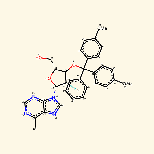 COc1ccc(C(OC2[C@@H](CO)O[C@@H](n3cnc4c(C)ncnc43)[C@H]2F)(c2ccccc2)c2ccc(OC)cc2)cc1